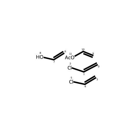 C=CCl.C=CCl.C=CO.C=COC(C)=O